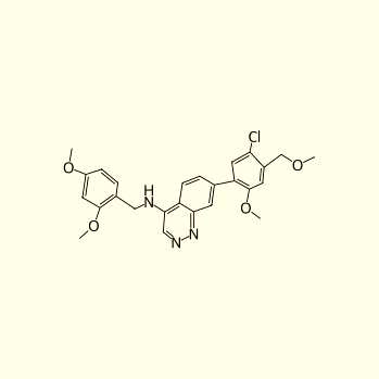 COCc1cc(OC)c(-c2ccc3c(NCc4ccc(OC)cc4OC)cnnc3c2)cc1Cl